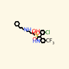 O=c1[nH]c2ccc(C(F)(F)F)cc2c(-c2cc(Cl)ccc2O)c1SCC(O)CCCNCC=CC1CCCCC1